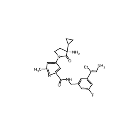 CC/C(=C\N)c1cc(F)cc(CNC(=O)c2cc(N3CC[C@@](N)(C4CC4)C3=O)cc(C)n2)c1